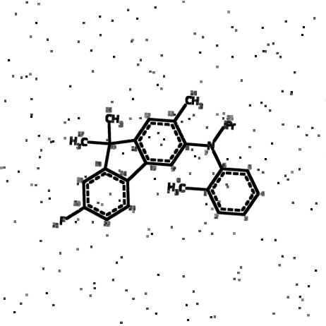 Cc1ccccc1N(c1cc2c(cc1C)C(C)(C)c1cc(F)ccc1-2)C(C)C